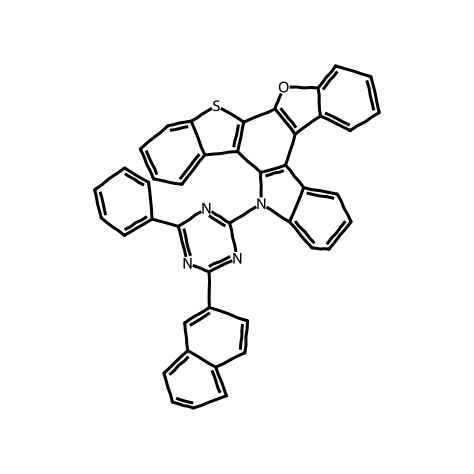 c1ccc(-c2nc(-c3ccc4ccccc4c3)nc(-n3c4ccccc4c4c5c6ccccc6oc5c5sc6ccccc6c5c43)n2)cc1